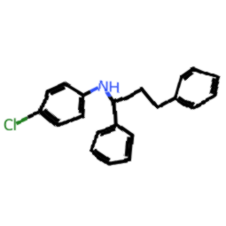 Clc1ccc(NC(CCc2ccccc2)c2ccccc2)cc1